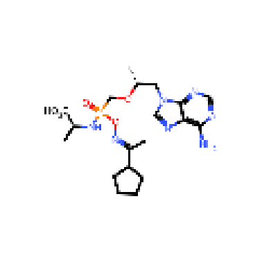 C/C(=N\OP(=O)(CO[C@H](C)Cn1cnc2c(N)ncnc21)N[C@@H](C)C(=O)O)C1CCCC1